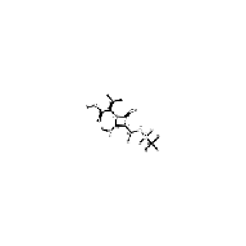 COC(=O)C(=C(C)C)N1C(=O)[C@H]([C@H](C)O[Si](C)(C)C(C)(C)C)[C@H]1SC